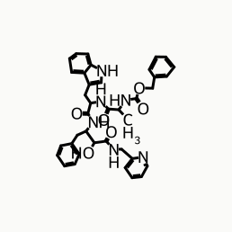 CC(NC(=O)OCc1ccccc1)C(=O)NC(Cc1c[nH]c2ccccc12)C(=O)NC(Cc1ccccc1)C(O)C(=O)NCc1ccccn1